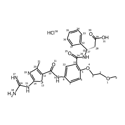 COCCOc1ccc(NC(=O)c2sc(NC(=N)N)nc2C)cc1C(=O)N[C@@H](CC(=O)O)c1ccccc1.Cl